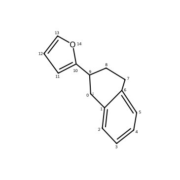 [C]1c2ccccc2CCC1c1ccco1